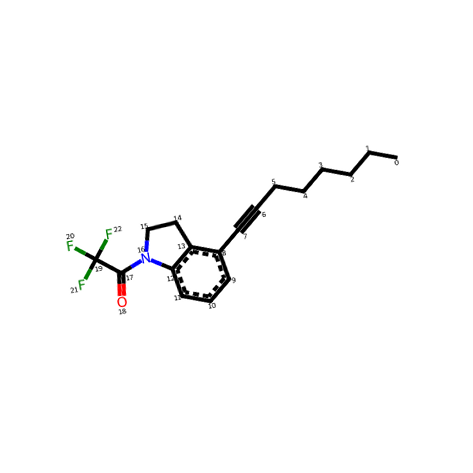 CCCCCCC#Cc1cccc2c1CCN2C(=O)C(F)(F)F